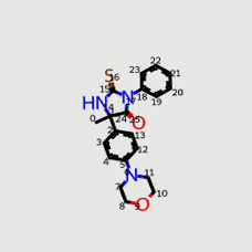 CC1(c2ccc(N3CCOCC3)cc2)NC(=S)N(c2ccccc2)C1=O